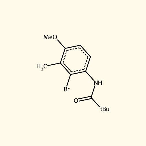 COc1ccc(NC(=O)C(C)(C)C)c(Br)c1C